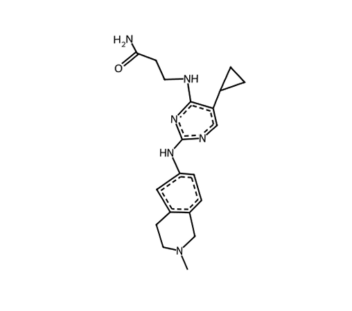 CN1CCc2cc(Nc3ncc(C4CC4)c(NCCC(N)=O)n3)ccc2C1